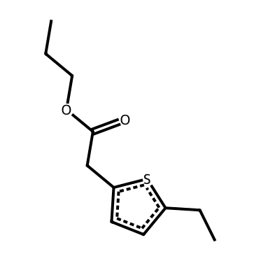 CCCOC(=O)Cc1ccc(CC)s1